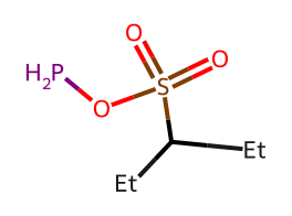 CCC(CC)S(=O)(=O)OP